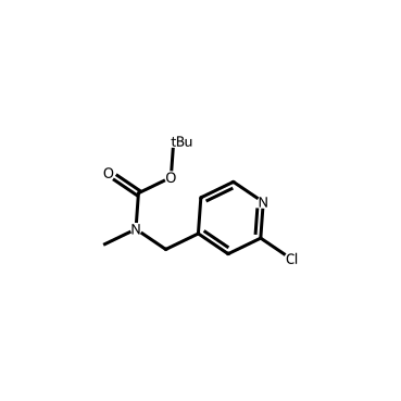 CN(Cc1ccnc(Cl)c1)C(=O)OC(C)(C)C